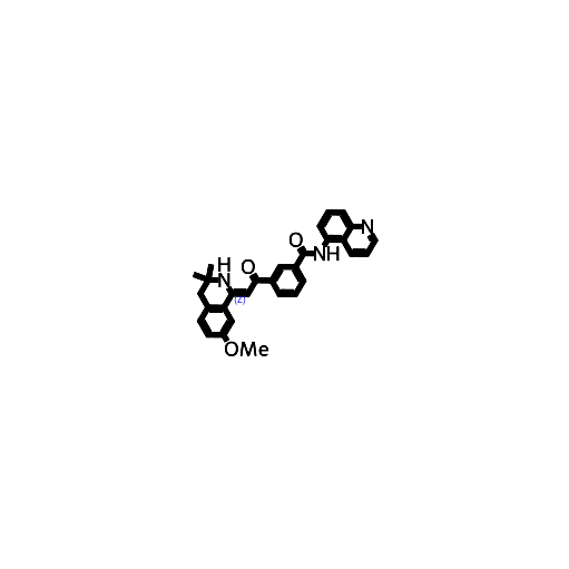 COc1ccc2c(c1)/C(=C/C(=O)c1cccc(C(=O)Nc3cccc4ncccc34)c1)NC(C)(C)C2